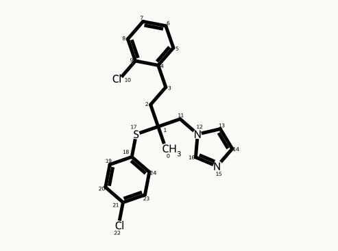 CC(CCc1ccccc1Cl)(Cn1ccnc1)Sc1ccc(Cl)cc1